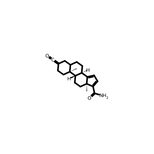 C[C@]12CC[C@H]3[C@@H](CCC4CC(=C=O)CC[C@@]43C)C1=CC=C2C(N)=O